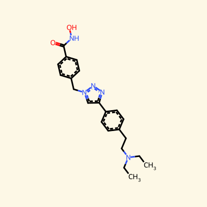 CCN(CC)CCc1ccc(-c2cn(Cc3ccc(C(=O)NO)cc3)nn2)cc1